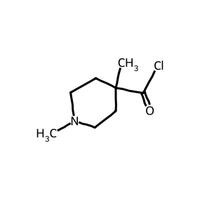 CN1CCC(C)(C(=O)Cl)CC1